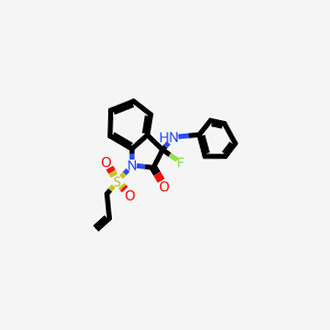 C=CCS(=O)(=O)N1C(=O)C(F)(Nc2ccccc2)c2ccccc21